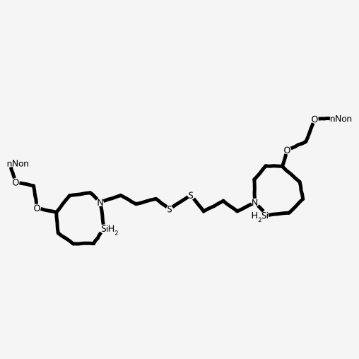 CCCCCCCCCOCOC1CCC[SiH2]N(CCCSSCCCN2CCC(OCOCCCCCCCCC)CCC[SiH2]2)CC1